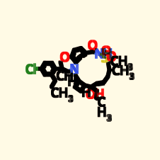 CCCc1cc(Cl)ccc1[C@]1(C)COc2ccc3cc2N(C[C@@H]2CC[C@H]2[C@@](O)(CCC)/C=C/C[C@H](C)[C@@H](C)S(=O)(=O)NC3=O)C1